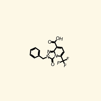 O=C(O)c1ccc(C(F)(F)F)n2c(=O)n(Cc3ccccc3)nc12